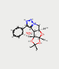 CC1(C)O[C@H]2O[C@@H]3Cn4nnc(-c5ccccc5)c4[C@]3(O)[C@H]2O1